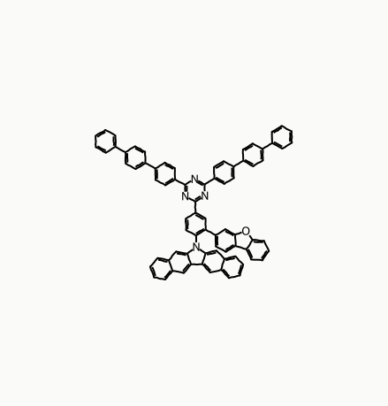 c1ccc(-c2ccc(-c3ccc(-c4nc(-c5ccc(-c6ccc(-c7ccccc7)cc6)cc5)nc(-c5ccc(-n6c7cc8ccccc8cc7c7cc8ccccc8cc76)c(-c6ccc7c(c6)oc6ccccc67)c5)n4)cc3)cc2)cc1